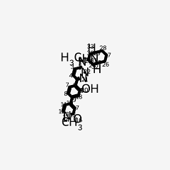 CN(c1ccc(-c2ccc(-c3ccn(C)c(=O)c3)cc2O)nn1)[C@H]1C[C@H]2CCC[C@@H](C1)N2